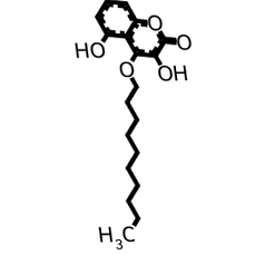 CCCCCCCCCCOc1c(O)c(=O)oc2cccc(O)c12